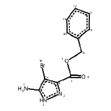 Nc1[nH]nc(C(=O)OCc2ccccc2)c1Br